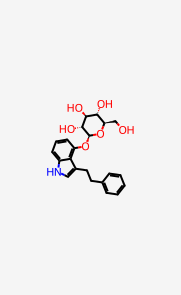 OC[C@H]1O[C@@H](Oc2cccc3[nH]cc(CCc4ccccc4)c23)[C@H](O)[C@@H](O)[C@@H]1O